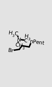 CCCCCCCCBr.CN(C)C